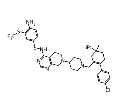 CC(C)C1(C)CCC(c2ccc(Cl)cc2)=C(CN2CCC(N3CCc4c(ncnc4NSc4ccc(N)c(SC(F)(F)F)c4)C3)CC2)C1